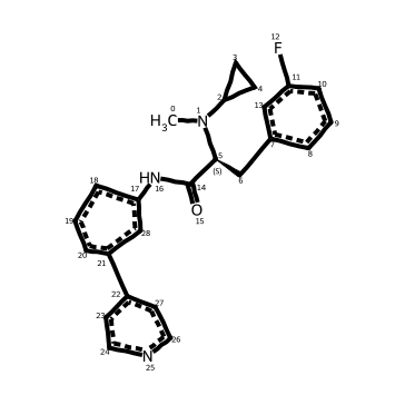 CN(C1CC1)[C@@H](Cc1cccc(F)c1)C(=O)Nc1cccc(-c2ccncc2)c1